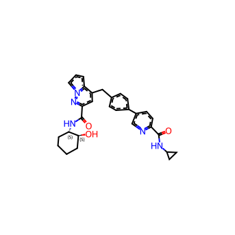 O=C(NC1CC1)c1ccc(-c2ccc(Cc3cc(C(=O)N[C@H]4CCCC[C@@H]4O)nn4cccc34)cc2)cn1